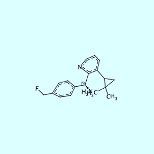 CC1(C)CC1c1cccnc1[C@@H](N)c1ccc(CF)cc1